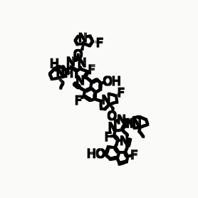 C#Cc1c(F)ccc2cc(O)cc(-c3ncc4c(N5CC6CCC(CC)(C5)N6)nc(OC[C@@]56CCC(c7cc(F)c(C#C)c8c(-c9ncc%10c(N%11C[C@H]%12CC[C@@](CC)(C%11)N%12)nc(OC[C@@]%11%12CCCN%11C[C@H](F)C%12)nc%10c9F)cc(O)cc78)N5C[C@H](F)C6)nc4c3F)c12